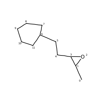 CC1OC1CCC1CCCCC1